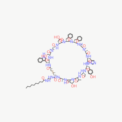 CCCCCCCCCC(=O)NCCNC(=O)[C@@H]1CSCC(=O)N[C@@H](Cc2c[nH]c3ccccc23)C(=O)N[C@@H]([C@@H](C)O)C(=O)N(C)CC(=O)N[C@@H](CC(=O)O)C(=O)N(C)[C@@H](Cc2ccccc2)C(=O)N(C)[C@@H](Cc2ccccc2)C(=O)N[C@@H](C)C(=O)N(C)[C@@H](C)C(=O)N[C@@H](Cc2cnc[nH]2)C(=O)N[C@@H](Cc2ccc(O)cc2)C(=O)N[C@@H](CC)C(=O)NC(C(C)C)C(=O)N2C[C@H](O)C[C@H]2C(=O)N[C@@H](C)C(=O)N1